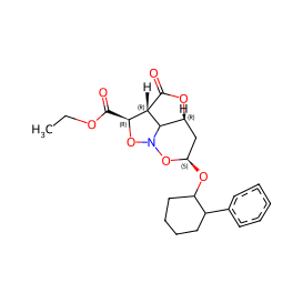 CCOC(=O)[C@@H]1ON2O[C@H](OC3CCCCC3c3ccccc3)C[C@H]3OC(=O)[C@@H]1C32